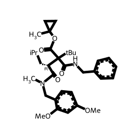 COc1ccc(CN(C)C(=O)[C@H](CC(C)C)C(C(=O)NCc2ccccc2)(C(=O)OC2(C)CC2)C(C)(C)C)c(OC)c1